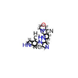 Cc1c(Nc2c(C#N)cncc2-c2ccc(C#N)c(CN3CCOCC3)n2)ccc2[nH]ccc12